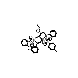 CCOC1=C2CN(S(=O)(=O)c3ccccc3Cl)[C@H](c3ccccc3)C[C@@H]2N(S(=O)(=O)c2ccc(C)cc2)[C@H](c2ccccc2)C1